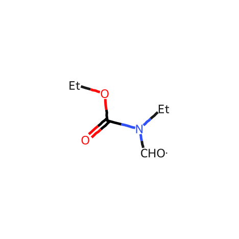 CCOC(=O)N([C]=O)CC